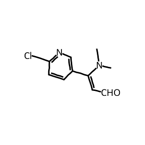 CN(C)C(=CC=O)c1ccc(Cl)nc1